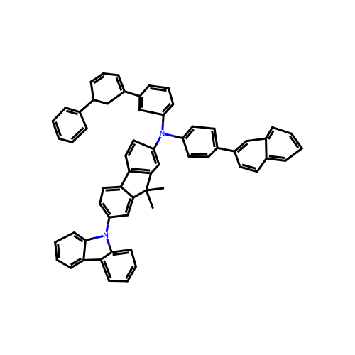 CC1(C)c2cc(N(c3ccc(-c4ccc5ccccc5c4)cc3)c3cccc(C4=CC=CC(c5ccccc5)C4)c3)ccc2-c2ccc(-n3c4ccccc4c4ccccc43)cc21